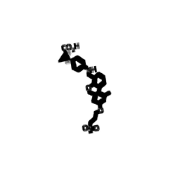 Cc1cc(OCCCS(C)(=O)=O)cc2c1-c1cccc(CNc3ccc([C@@H]4C[C@H]4C(=O)O)cc3)c1OC2